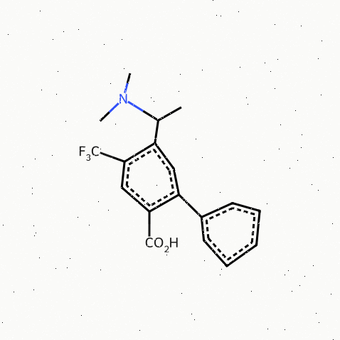 CC(c1cc(-c2ccccc2)c(C(=O)O)cc1C(F)(F)F)N(C)C